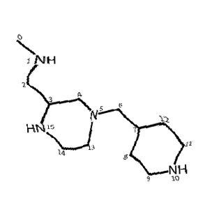 CNCC1CN(CC2CCNCC2)CCN1